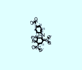 O=[N+]([O-])c1ccc(Nc2c([N+](=O)[O-])cc([N+](=O)[O-])c3nonc23)cc1